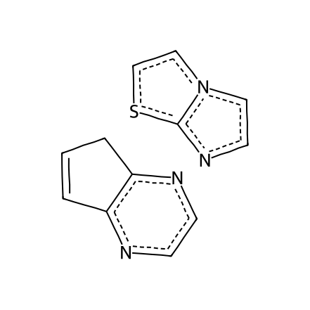 C1=Cc2nccnc2C1.c1cn2ccsc2n1